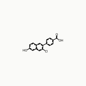 O=C(O)c1ccc(-c2cc3ccc(O)cc3cc2Cl)cc1